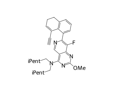 C#CC1=CCCc2cccc(-c3ncc4c(N(CC(C)CCC)CC(C)CCC)nc(OC)nc4c3F)c21